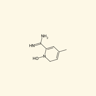 CC1=CCN(O)C(C(=N)N)=C1